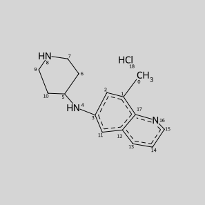 Cc1cc(NC2CCNCC2)cc2cccnc12.Cl